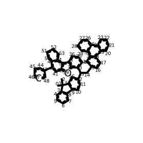 CC1(C)c2ccccc2-c2ccc(C(Cc3ccc4c5ccccc5c5ccccc5c4c3)c3cccc4c3oc3cc(-c5ccccc5)c5ccccc5c34)cc21